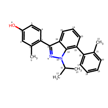 Cc1cc(O)ccc1-c1nn(C(C)C)c2c(-c3ccccc3C)cccc12